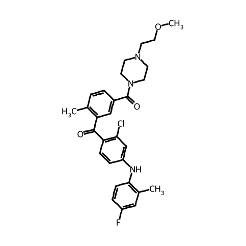 COCCN1CCN(C(=O)c2ccc(C)c(C(=O)c3ccc(Nc4ccc(F)cc4C)cc3Cl)c2)CC1